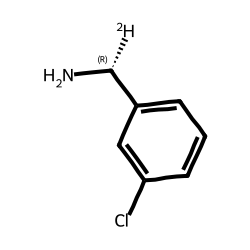 [2H][C@@H](N)c1cccc(Cl)c1